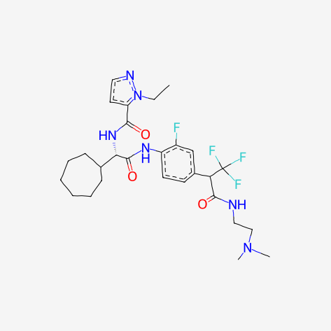 CCn1nccc1C(=O)N[C@H](C(=O)Nc1ccc(C(C(=O)NCCN(C)C)C(F)(F)F)cc1F)C1CCCCCC1